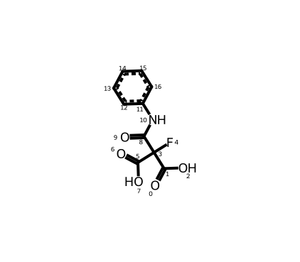 O=C(O)C(F)(C(=O)O)C(=O)Nc1ccccc1